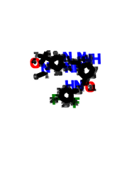 CCN1C(=O)C(C)(C)c2cc3nc(-c4n[nH]c5ccc(C(=O)NCc6ccc(F)cc6F)cc45)[nH]c3cc21